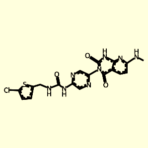 CNc1ccc2c(=O)n(-c3cnc(NC(=O)NCc4ccc(Cl)s4)cn3)c(=O)[nH]c2n1